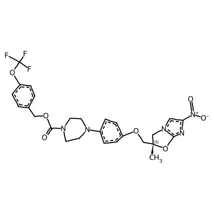 C[C@@]1(COc2ccc(N3CCN(C(=O)OCc4ccc(OC(F)(F)F)cc4)CC3)cc2)Cn2cc([N+](=O)[O-])nc2O1